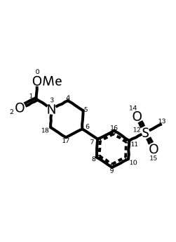 COC(=O)N1CCC(c2cccc(S(C)(=O)=O)c2)CC1